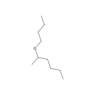 CCCCOC(C)CCCC